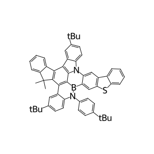 CC(C)(C)c1ccc(N2B3c4cc5sc6ccccc6c5cc4-n4c5ccc(C(C)(C)C)cc5c5c6c(c(c3c54)-c3cc(C(C)(C)C)ccc32)C(C)(C)c2ccccc2-6)cc1